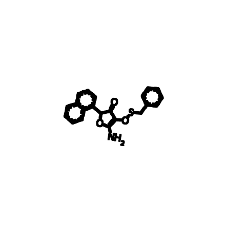 NC1=C(OSCc2ccccc2)C(=O)C(c2cccc3ccccc23)O1